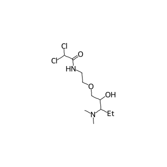 CCC(C(O)COCCNC(=O)C(Cl)Cl)N(C)C